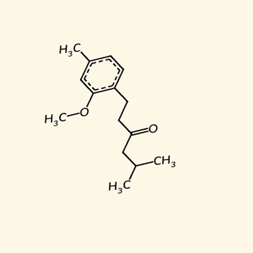 COc1cc(C)ccc1CCC(=O)CC(C)C